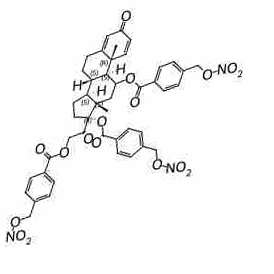 C[C@]12C=CC(=O)C=C1CC[C@@H]1[C@@H]2C(OC(=O)c2ccc(CO[N+](=O)[O-])cc2)C[C@@]2(C)[C@H]1CC[C@]2(OC(=O)c1ccc(CO[N+](=O)[O-])cc1)C(=O)COC(=O)c1ccc(CO[N+](=O)[O-])cc1